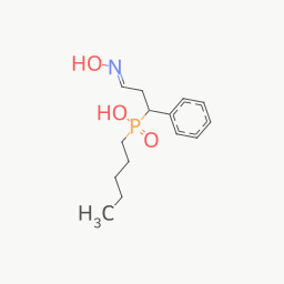 CCCCCP(=O)(O)C(CC=NO)c1ccccc1